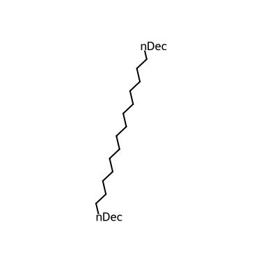 [CH2]CCCCCCCCCCCCCCCCCCCCCCCCCCCCCCCCC